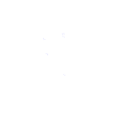 Cc1c[nH]c2c(N3CCOCC3)ncc(C(=O)N3CCOCC3)c12